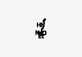 C=CCNCCC(=O)N(CC)N(C)C